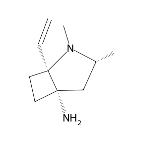 C=C[C@@]12CC[C@]1(N)C[C@@H](C)N2C